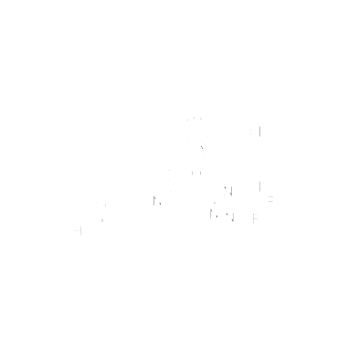 COc1cccc([C@@H]2O[C@@H](CC(=O)N3CCC(CC(=O)O)CC3)c3nnc(C(F)(F)Cl)n3-c3ccc(Cl)cc32)c1C